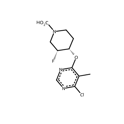 Cc1c(Cl)ncnc1O[C@H]1CCN(C(=O)O)C[C@H]1F